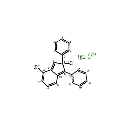 CCC1(c2ccccc2)C=c2[c]([Zr])cccc2=C1c1ccccc1.Cl.Cl